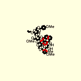 C=CCO[C@@H]1OC2COC(c3ccc(OC)cc3)O[C@@H]2[C@H](O[C@@H]2OC(C(=O)OC)[C@@H](O[C@@H]3OC4COC(c5ccc(OC)cc5)O[C@@H]4[C@H](O[C@@H]4OC(C(=O)OC)[C@@H](O)[C@H](O)C4OC(=O)c4ccccc4)C3C)[C@H](OC(=O)c3ccccc3)C2OC(=O)c2ccccc2)C1C